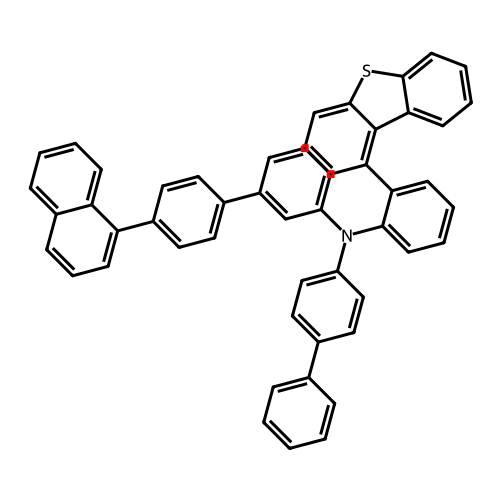 c1ccc(-c2ccc(N(c3cccc(-c4ccc(-c5cccc6ccccc56)cc4)c3)c3ccccc3-c3cccc4sc5ccccc5c34)cc2)cc1